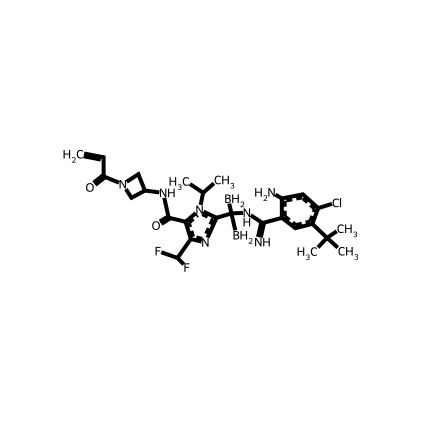 BC(B)(NC(=N)c1cc(C(C)(C)C)c(Cl)cc1N)c1nc(C(F)F)c(C(=O)NC2CN(C(=O)C=C)C2)n1C(C)C